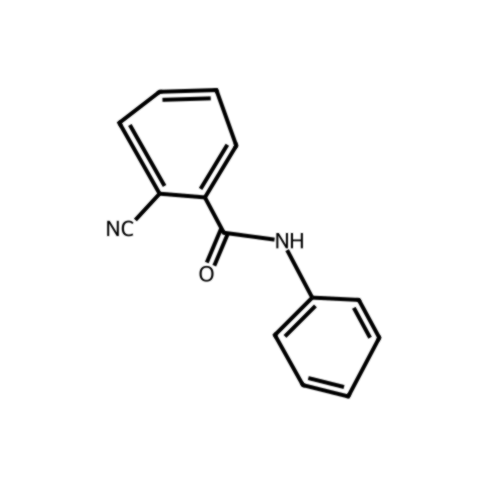 N#Cc1ccccc1C(=O)Nc1ccccc1